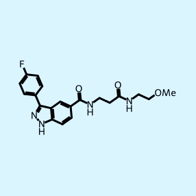 COCCNC(=O)CCNC(=O)c1ccc2[nH]nc(-c3ccc(F)cc3)c2c1